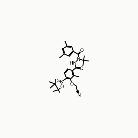 Cc1cc(C)cc(C(=O)N(NC(=O)c2ccc(B3OC(C)(C)C(C)(C)O3)c(OCC#N)c2C)C(C)(C)C)c1